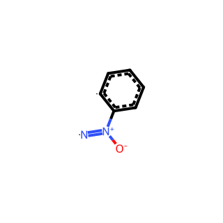 [N]=[N+]([O-])c1[c]cccc1